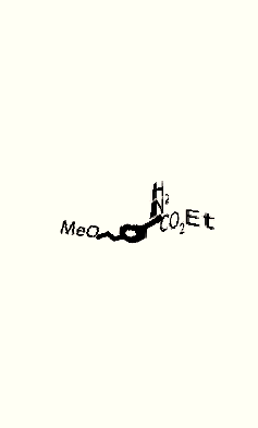 CCOC(=O)C(N)c1ccc(CCCOC)cc1